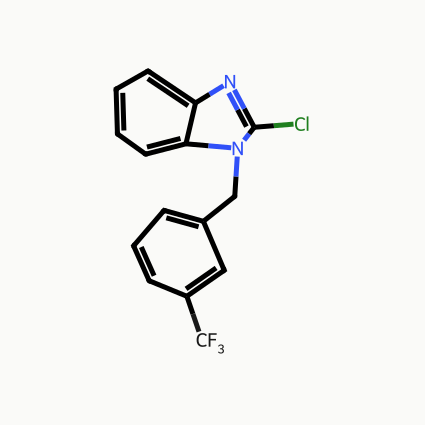 FC(F)(F)c1cccc(Cn2c(Cl)nc3ccccc32)c1